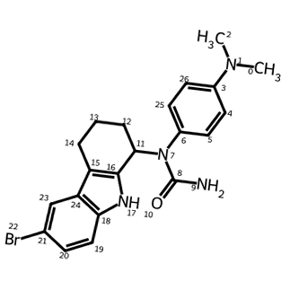 CN(C)c1ccc(N(C(N)=O)C2CCCc3c2[nH]c2ccc(Br)cc32)cc1